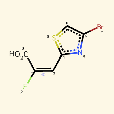 O=C(O)/C(F)=C\c1nc(Br)cs1